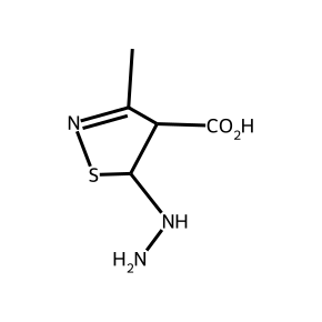 CC1=NSC(NN)C1C(=O)O